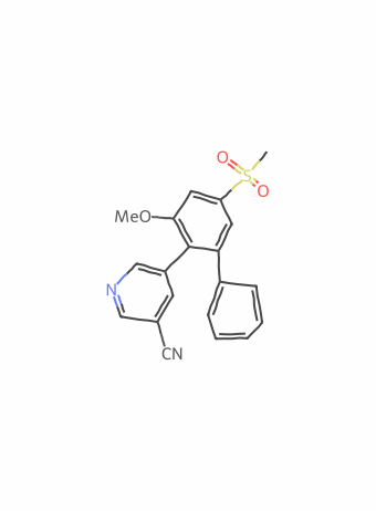 COc1cc(S(C)(=O)=O)cc(-c2ccccc2)c1-c1cncc(C#N)c1